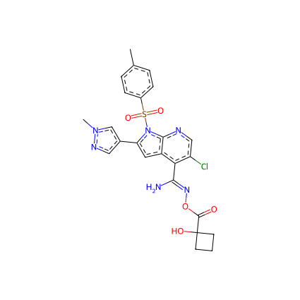 Cc1ccc(S(=O)(=O)n2c(-c3cnn(C)c3)cc3c(/C(N)=N/OC(=O)C4(O)CCC4)c(Cl)cnc32)cc1